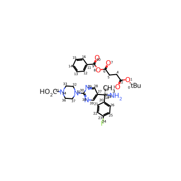 CC(C)(C)OC(=O)CCC(=O)OC(=O)c1ccccc1.C[C@](N)(c1ccc(F)cc1)c1cnc(N2CCN(C(=O)O)CC2)nc1